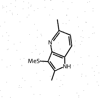 CSc1c(C)[nH]c2ccc(C)nc12